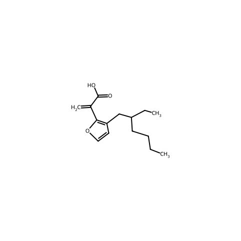 C=C(C(=O)O)c1occc1CC(CC)CCCC